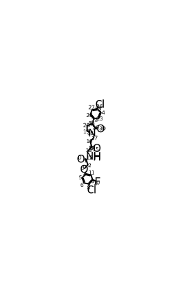 O=C(COc1ccc(Cl)c(F)c1)NC[C@@H](O)CCN1CC[C@@H](c2ccc(Cl)cc2)C1=O